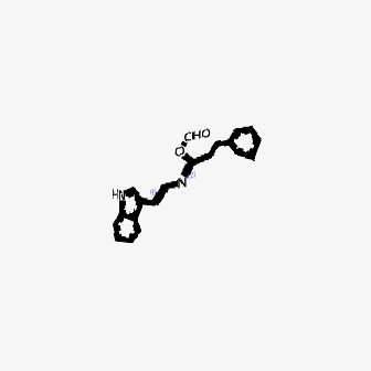 O=CO/C(CCc1ccccc1)=N\C=C\c1c[nH]c2ccccc12